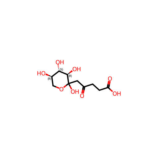 O=C(O)CCC(=O)CC1(O)OC[C@@H](O)[C@H](O)[C@H]1O